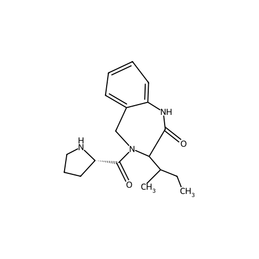 CCC(C)C1C(=O)Nc2ccccc2CN1C(=O)[C@@H]1CCCN1